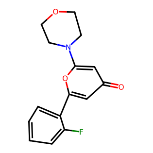 O=c1cc(-c2ccccc2F)oc(N2CCOCC2)c1